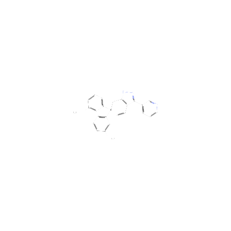 COc1cccc(C2(c3cccc(OC)c3)C=Cc3c(-c4cccnc4)n[nH]c3C2)c1